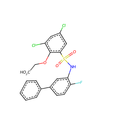 O=C(O)COc1c(Cl)cc(Cl)cc1S(=O)(=O)Nc1cc(-c2ccccc2)ccc1F